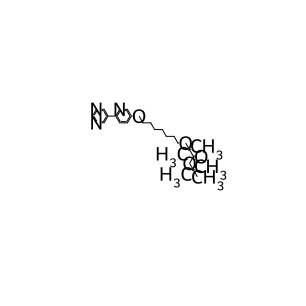 CC(C)(C)OC(=O)C(C)(C)OCCCCCCCOc1ccc(-c2cncnc2)nc1